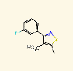 Cc1snc(-c2cccc(F)c2)c1C(=O)O